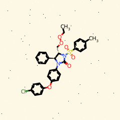 CCOOC[C@H]1[C@H](c2ccccc2)N(c2ccc(Oc3ccc(Cl)cc3)cc2)C(=O)N1S(=O)(=O)c1ccc(C)cc1